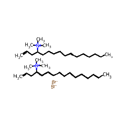 C=CCC(CCCCCCCCCCCC)[N+](C)(C)C.C=CCC(CCCCCCCCCCCC)[N+](C)(C)C.[Br-].[Br-]